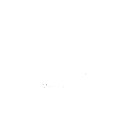 COC(=O)OCC(C)OCCO